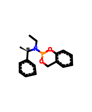 CCN([C@@H](C)c1ccccc1)P1OCc2ccccc2O1